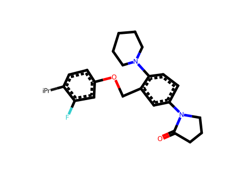 CC(C)c1ccc(OCc2cc(N3CCCC3=O)ccc2N2CCCCC2)cc1F